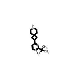 CC(C)(C)c1nccc(C2CC3(CCNCC3)C2)n1